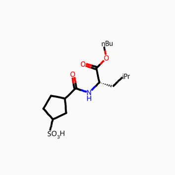 CCCCOC(=O)[C@H](CC(C)C)NC(=O)C1CCC(S(=O)(=O)O)C1